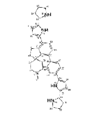 CN1CCC2(CCc3c(-c4cnc([C@@H]5CCCN5)[nH]4)ccc(-c4ccc(-c5cnc([C@@H]6CCCN6)[nH]5)cc4)c32)CC1